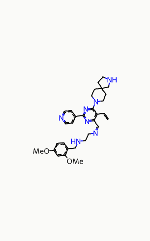 C=Cc1c(/C=N\CCNCc2ccc(OC)cc2OC)nc(-c2ccncc2)nc1N1CCC2(CCNC2)CC1